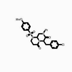 COc1ccc(S(=O)(=O)N2CCC(=O)N3C(Cc4ccc(Cl)cc4)C(=O)N(C(C)C)CC32)cc1